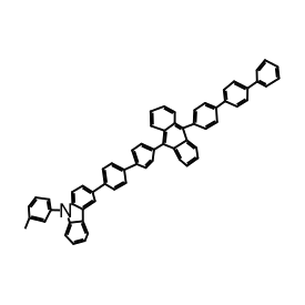 Cc1cccc(-n2c3ccccc3c3cc(-c4ccc(-c5ccc(-c6c7ccccc7c(-c7ccc(-c8ccc(-c9ccccc9)cc8)cc7)c7ccccc67)cc5)cc4)ccc32)c1